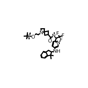 CN(C(=O)C1CC2(CCN2CCO[Si](C)(C)C(C)(C)C)C1)C(c1ccc(NC2Cc3ccccc3C2(C)C)cn1)C(F)(F)F